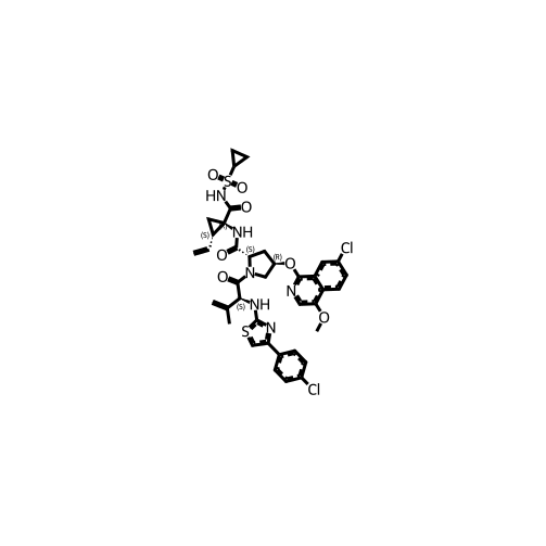 C=C[C@@H]1C[C@]1(NC(=O)[C@@H]1C[C@@H](Oc2ncc(OC)c3ccc(Cl)cc23)CN1C(=O)[C@@H](Nc1nc(-c2ccc(Cl)cc2)cs1)C(=C)C)C(=O)NS(=O)(=O)C1CC1